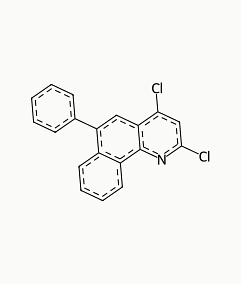 Clc1cc(Cl)c2cc(-c3ccccc3)c3ccccc3c2n1